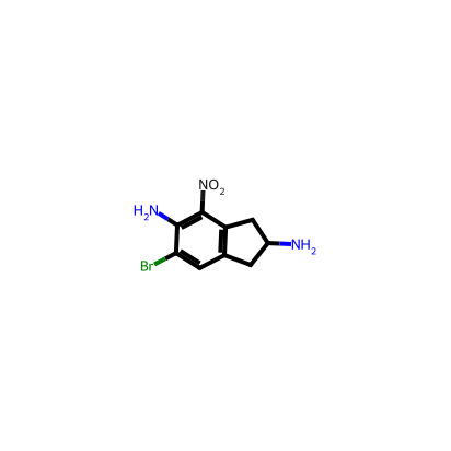 Nc1c(Br)cc2c(c1[N+](=O)[O-])CC(N)C2